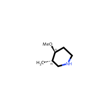 CO[C@H]1CCNC[C@@H]1C